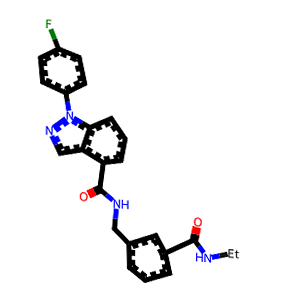 CCNC(=O)c1cccc(CNC(=O)c2cccc3c2cnn3-c2ccc(F)cc2)c1